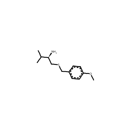 COc1ccc(CSC[C@H](N)C(C)C)cc1